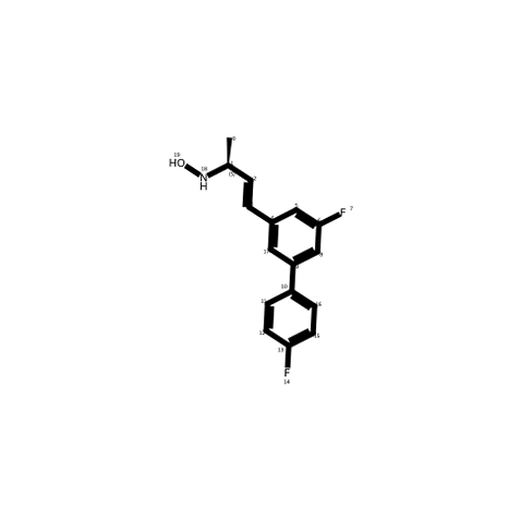 C[C@@H](C=Cc1cc(F)cc(-c2ccc(F)cc2)c1)NO